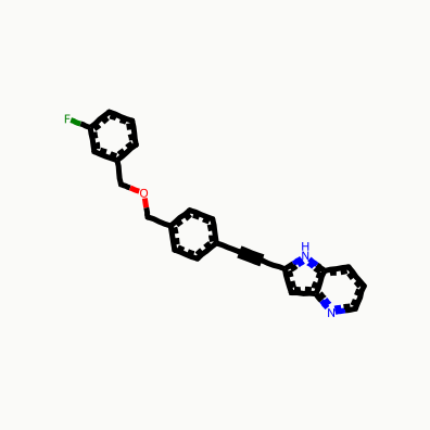 Fc1cccc(COCc2ccc(C#Cc3cc4ncccc4[nH]3)cc2)c1